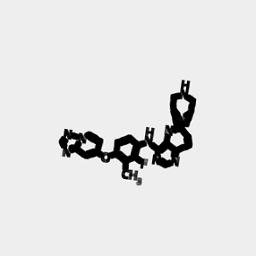 Cc1c(Oc2ccn3ncnc3c2)ccc(Nc2ncnc3ccc(N4C5CCC4CNC5)nc23)c1F